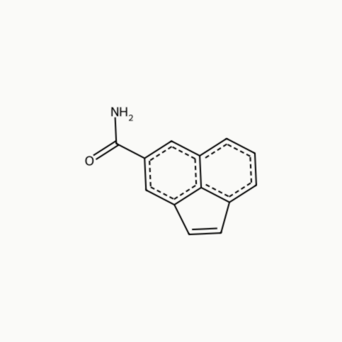 NC(=O)c1cc2c3c(cccc3c1)C=C2